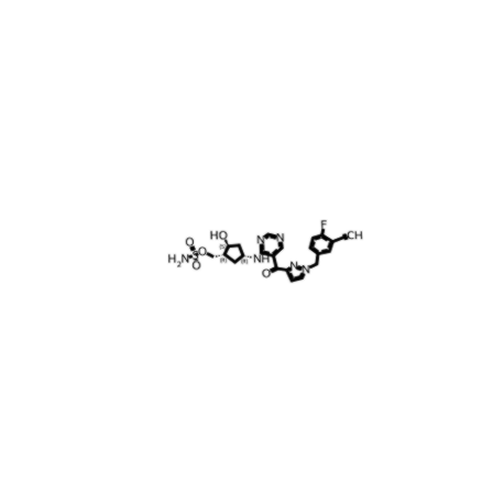 C#Cc1cc(Cn2ccc(C(=O)c3cncnc3N[C@@H]3C[C@H](COS(N)(=O)=O)[C@@H](O)C3)n2)ccc1F